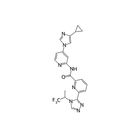 CC(n1cnnc1-c1cccc(C(=O)Nc2cc(-n3cnc(C4CC4)c3)ccn2)n1)C(F)(F)F